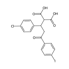 O=C(CC(c1ccc(Cl)cc1)C(C(=O)O)C(=O)O)c1ccc(I)cc1